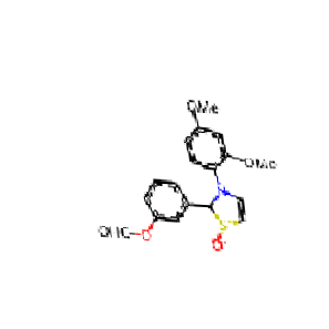 COc1ccc(N2C=C[S+]([O-])C2c2cccc(OC=O)c2)c(OC)c1